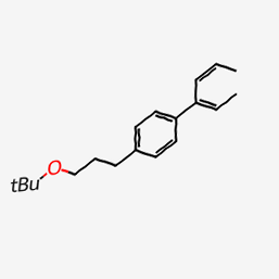 C/C=C\C(=C/C)c1ccc(CCCOC(C)(C)C)cc1